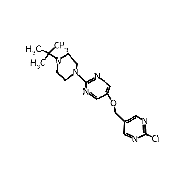 CC(C)(C)N1CCN(c2ncc(OCc3cnc(Cl)nc3)cn2)CC1